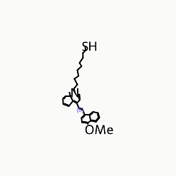 COc1ccc(/C=C/C2=C3C=CC=CC3(C)N(CCCCCCCCCCS)C=C2)c2c1=C=C=CC=2